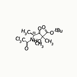 C[C@@H](C(=O)C(C)(O)C(=O)OC(C)(C)C)N(C)C(=O)C(Cl)(Cl)Cl